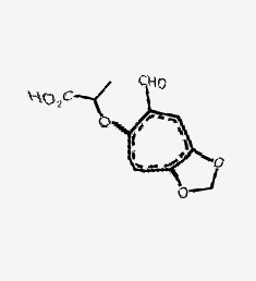 CC(Oc1cc2c(cc1C=O)OCO2)C(=O)O